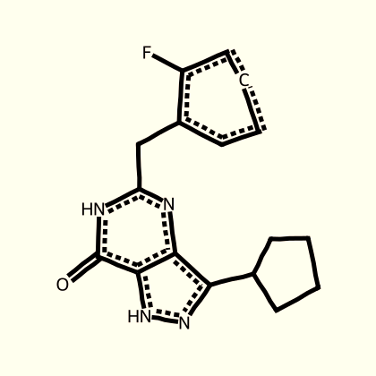 O=c1[nH]c(Cc2ccccc2F)nc2c(C3CCCC3)n[nH]c12